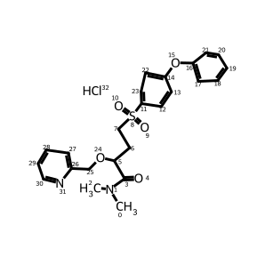 CN(C)C(=O)C(CCS(=O)(=O)c1ccc(Oc2ccccc2)cc1)OCc1ccccn1.Cl